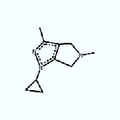 Cc1nn(C2CC2)c2c1CN(C)C2